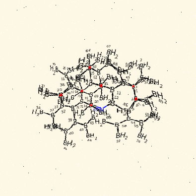 BB(B)B(B(B)B)B(B(B)B)B(B(/N=B/B(B(B(B(B)B)B(B)B)B(B(B)B)B(B)B)B(B(B(B)B)B(B)B)B(B(B)B)B(B)B)B(B(B(B)B)B(B)B)B(B(B)B)B(B)B)B(B(B(B)B)B(B)B)B(B(B)B)B(B)B